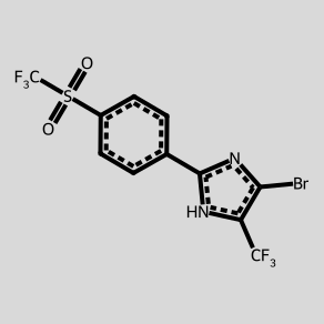 O=S(=O)(c1ccc(-c2nc(Br)c(C(F)(F)F)[nH]2)cc1)C(F)(F)F